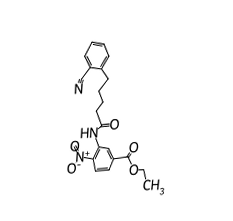 CCOC(=O)c1ccc([N+](=O)[O-])c(NC(=O)CCCCc2ccccc2C#N)c1